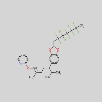 CCCCC(C)C(CCC(C)[SiH2]Oc1ccccn1)c1ccc2c(c1)OC(CC(F)(F)C(F)(F)C(F)(F)C(F)(F)C(F)(F)C(F)(F)F)O2